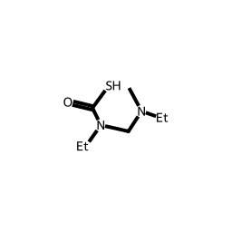 CCN(C)CN(CC)C(=O)S